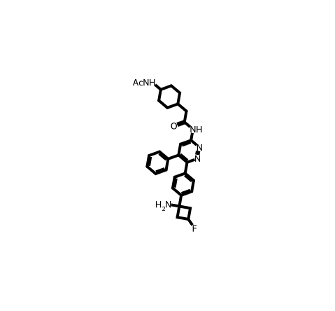 CC(=O)NC1CCC(CC(=O)Nc2cc(-c3ccccc3)c(-c3ccc(C4(N)CC(F)C4)cc3)nn2)CC1